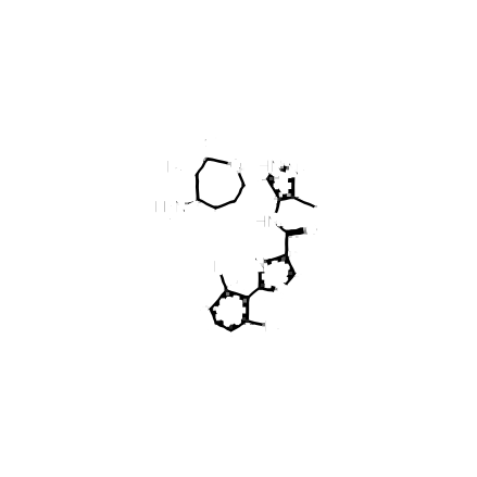 Cc1n[nH]c([C@@H]2CC[C@@H](N)[C@H](F)[C@H](C)O2)c1NC(=O)c1csc(-c2c(F)cccc2F)n1